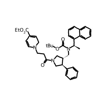 CCOC(=O)C1=CCN(CCC(=O)N2C[C@H](CN(C(=O)OC(C)(C)C)[C@H](C)c3cccc4ccccc34)[C@@H](c3ccccc3)C2)C=C1